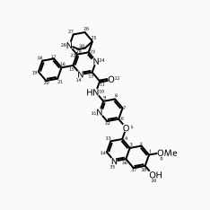 COc1cc2c(Oc3ccc(NC(=O)c4nc(-c5ccccc5)c5c(n4)C4CCN5CC4)nc3)ccnc2cc1O